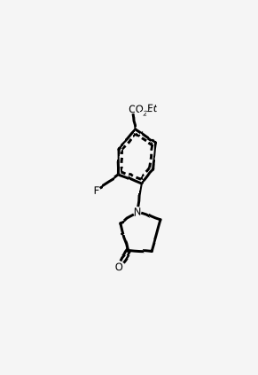 CCOC(=O)c1ccc(N2CCC(=O)C2)c(F)c1